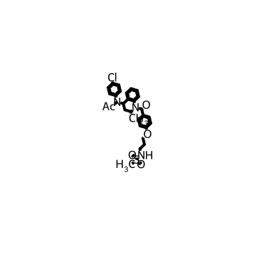 CC(=O)N(c1ccc(Cl)cc1)C1CC(C)N(C(=O)c2ccc(OCCCNS(C)(=O)=O)cc2)c2ccccc21